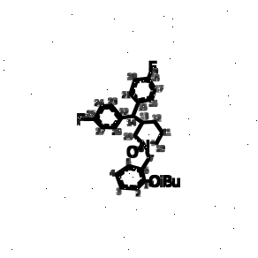 CC(C)COc1ccccc1C[N+]1([O-])CCCC(C(c2ccc(F)cc2)c2ccc(F)cc2)C1